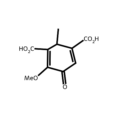 COC1=C(C(=O)O)C(C)C(C(=O)O)=CC1=O